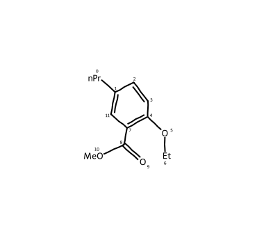 CCCc1ccc(OCC)c(C(=O)OC)c1